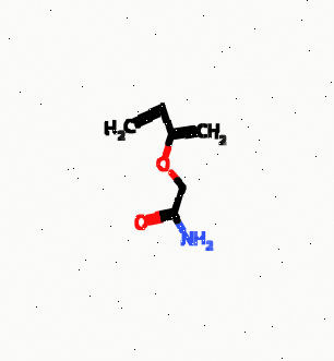 C=CC(=C)OCC(N)=O